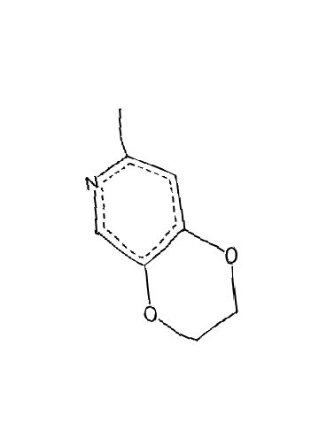 Cc1cc2c(cn1)OCCO2